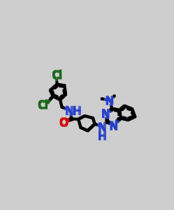 CN(C)c1nc(NC2CCC(C(=O)NCc3ccc(Cl)cc3Cl)CC2)nc2ccccc12